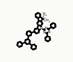 CC1(C)c2ccccc2-c2cc3c4cc(-c5cccc(-c6cc(-c7ccccc7)cc(-c7ccccc7)c6)c5)ccc4n(-c4nc(-c5ccccc5)nc(-c5ccccc5)n4)c3cc21